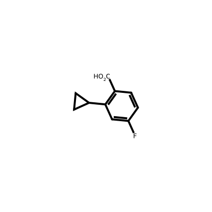 O=C(O)c1ccc(F)cc1C1CC1